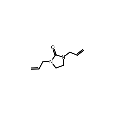 C=CCN1CCN(CC=C)C1=O